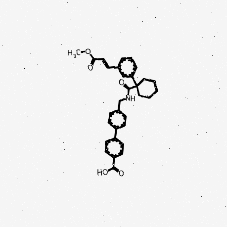 COC(=O)/C=C/c1cccc(C2(C(=O)NCc3ccc(-c4ccc(C(=O)O)cc4)cc3)CCCCC2)c1